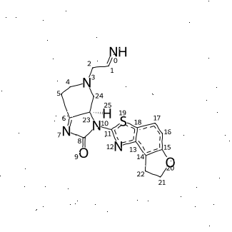 N=CCN1CCC2=NC(=O)N(c3nc4c5c(ccc4s3)OCC5)[C@@H]2C1